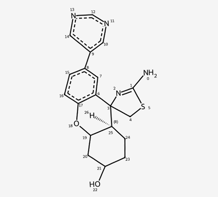 NC1=NC2(CS1)c1cc(-c3cncnc3)ccc1OC1CC(O)CC[C@@H]12